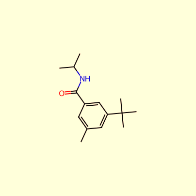 Cc1cc(C(=O)NC(C)C)cc(C(C)(C)C)c1